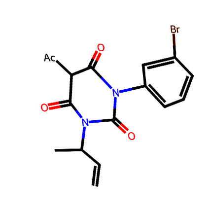 C=CC(C)N1C(=O)C(C(C)=O)C(=O)N(c2cccc(Br)c2)C1=O